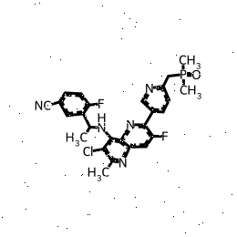 Cc1nc2cc(F)c(-c3ccc(CP(C)(C)=O)nc3)nc2c(NC(C)c2cc(C#N)ccc2F)c1Cl